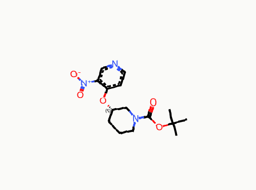 CC(C)(C)OC(=O)N1CCC[C@H](Oc2ccncc2[N+](=O)[O-])C1